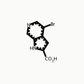 O=C(O)c1cc2c(Br)cncc2[nH]1